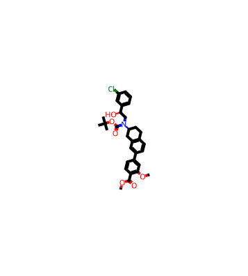 COC(=O)c1ccc(-c2ccc3c(c2)C[C@@H](N(C[C@@H](O)c2cccc(Cl)c2)C(=O)OC(C)(C)C)CC3)cc1OC